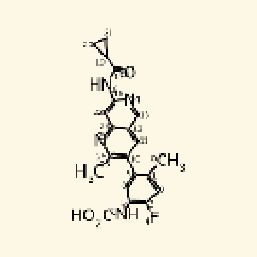 Cc1cc(F)c(NC(=O)O)cc1-c1cc2cnc(NC(=O)C3CC3)cc2nc1C